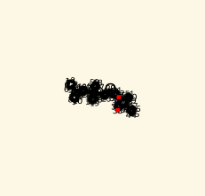 C1=CCCC(n2c3ccccc3c3cc(-c4c5ccccc5c(-c5ccc6c(c5)oc5ccc(-c7c8ccccc8c(-c8ccccc8)c8ccccc78)cc56)c5ccccc45)ccc32)=C1